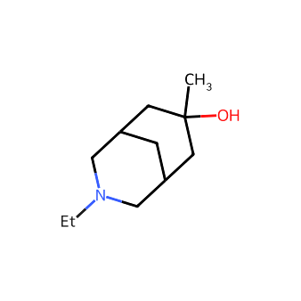 CCN1CC2CC(C1)CC(C)(O)C2